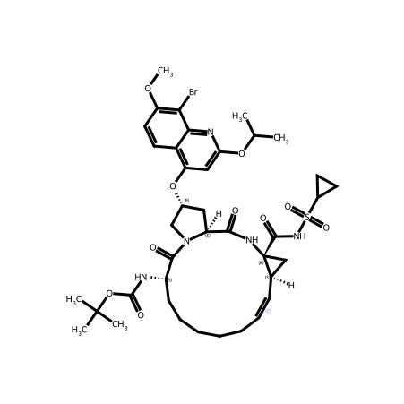 COc1ccc2c(O[C@@H]3C[C@H]4C(=O)N[C@]5(C(=O)NS(=O)(=O)C6CC6)C[C@H]5/C=C\CCCCC[C@H](NC(=O)OC(C)(C)C)C(=O)N4C3)cc(OC(C)C)nc2c1Br